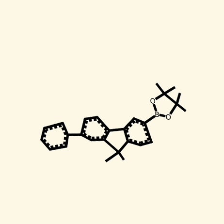 CC1(C)c2ccc(B3OC(C)(C)C(C)(C)O3)cc2-c2ccc(-c3ccccc3)cc21